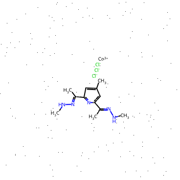 CNN=C(C)c1cc(C)cc(C(C)=NNC)n1.[Cl-].[Cl-].[Cl-].[Co+3]